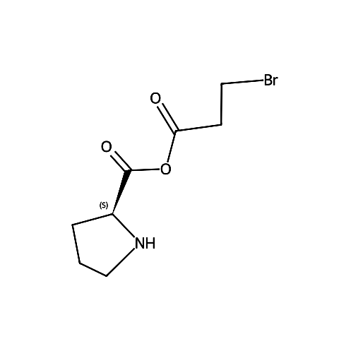 O=C(CCBr)OC(=O)[C@@H]1CCCN1